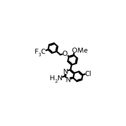 COc1ccc(-c2nc(N)nc3ccc(Cl)cc23)cc1OCc1cccc(C(F)(F)F)c1